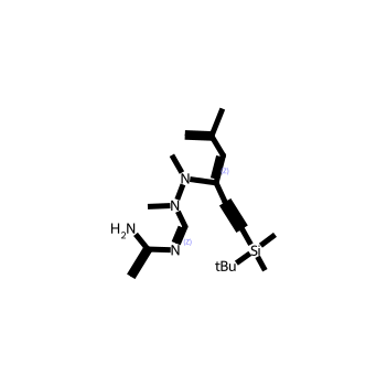 C=C(C)/C=C(/C#C[Si](C)(C)C(C)(C)C)N(C)N(C)/C=N\C(=C)N